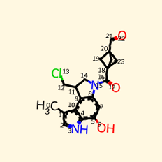 Cc1c[nH]c2c(O)cc3c(c12)C(CCl)CN3C(=O)C12CC(C=O)(C1)C2